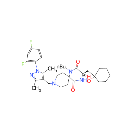 CCCCN1C(=O)[C@@H](CC2(O)CCCCC2)NC(=O)C12CCN(Cc1c(C)nn(-c3ccc(F)cc3F)c1C)CC2